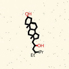 CCC(CC(O)CC1CCC2C3CC=C4CC(O)CCC4(C)C3CCC12C)C(C)C